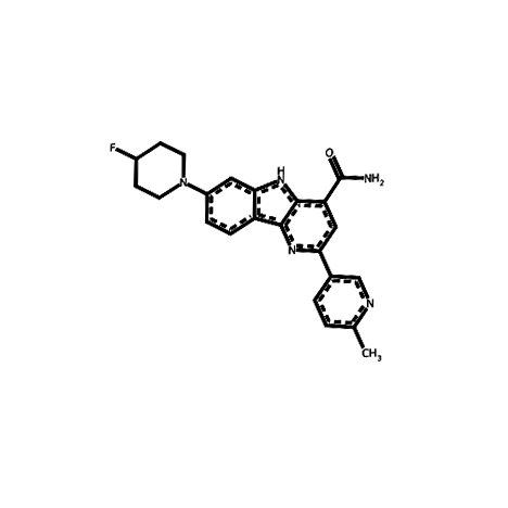 Cc1ccc(-c2cc(C(N)=O)c3[nH]c4cc(N5CCC(F)CC5)ccc4c3n2)cn1